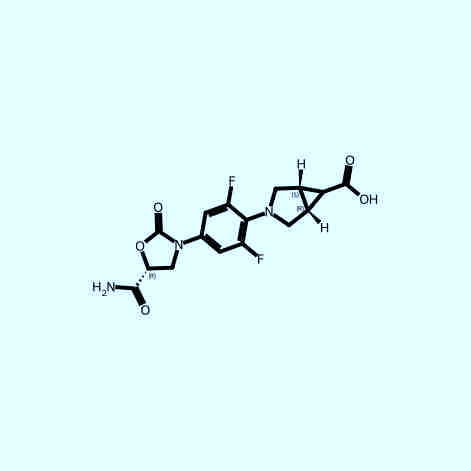 NC(=O)[C@H]1CN(c2cc(F)c(N3C[C@@H]4C(C(=O)O)[C@@H]4C3)c(F)c2)C(=O)O1